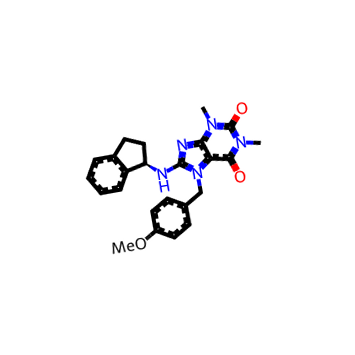 COc1ccc(Cn2c(N[C@@H]3CCc4ccccc43)nc3c2c(=O)n(C)c(=O)n3C)cc1